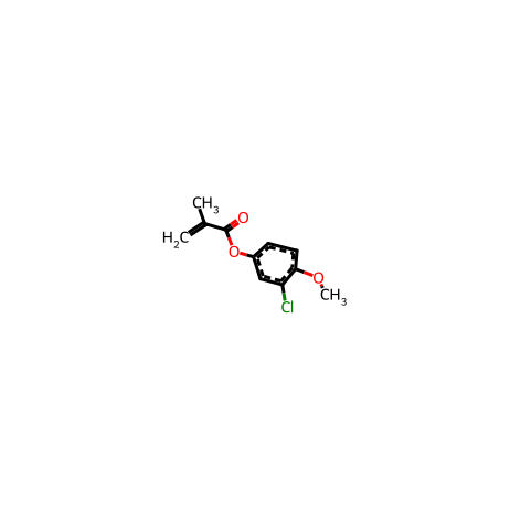 C=C(C)C(=O)Oc1ccc(OC)c(Cl)c1